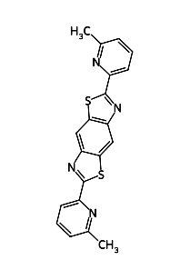 Cc1cccc(-c2nc3cc4sc(-c5cccc(C)n5)nc4cc3s2)n1